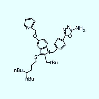 CCCCC(CCCC)CCCSc1c(CC(C)(C)C)n(Cc2ccc(-c3nnc(N)o3)cc2)c2ccc(OCc3ccccn3)cc12